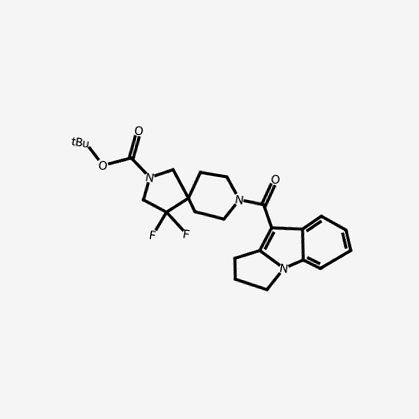 CC(C)(C)OC(=O)N1CC(F)(F)C2(CCN(C(=O)c3c4n(c5ccccc35)CCC4)CC2)C1